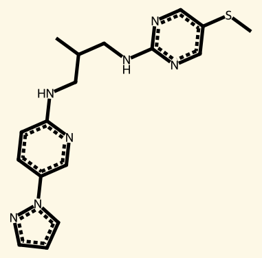 CSc1cnc(NCC(C)CNc2ccc(-n3cccn3)cn2)nc1